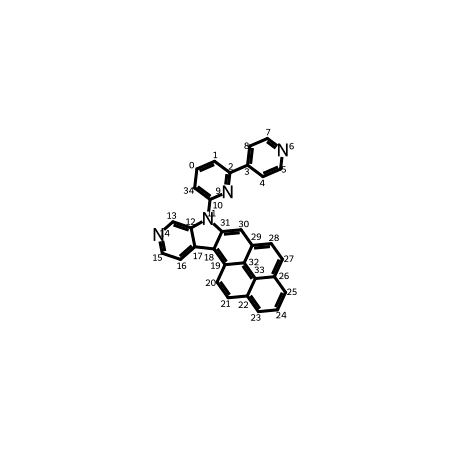 c1cc(-c2ccncc2)nc(-n2c3cnccc3c3c4ccc5cccc6ccc(cc32)c4c65)c1